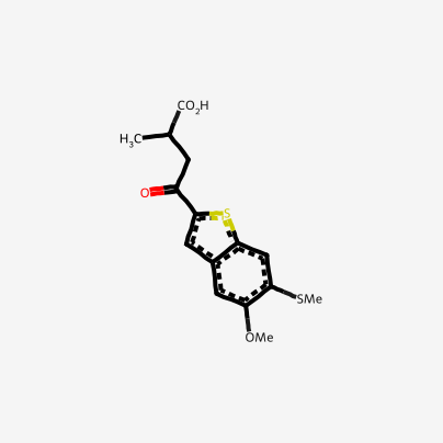 COc1cc2cc(C(=O)CC(C)C(=O)O)sc2cc1SC